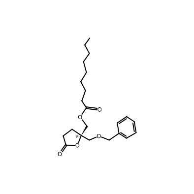 CCCCCCCCC(=O)OC[C@]1(COCc2ccccc2)CCC(=O)O1